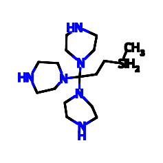 C[SiH2]CCC(N1CCNCC1)(N1CCNCC1)N1CCNCC1